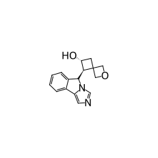 O[C@@H]1CC2(COC2)[C@H]1C1c2ccccc2-c2cncn21